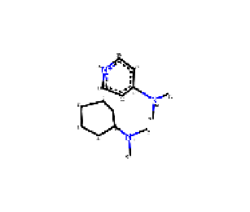 CN(C)C1CCCCC1.CN(C)c1ccncc1